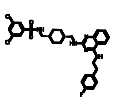 O=S(=O)(NC[C@H]1CC[C@H](CNc2nc(NCCc3ccc(F)cc3)c3ccccc3n2)CC1)c1cc(Cl)cc(Cl)c1